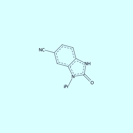 CC(C)n1c(=O)[nH]c2ccc(C#N)cc21